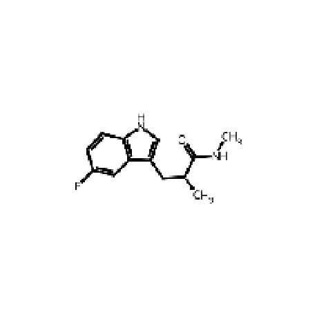 CNC(=O)[C@@H](C)Cc1c[nH]c2ccc(F)cc12